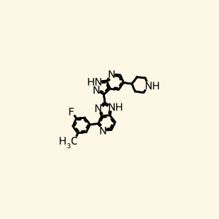 Cc1cc(F)cc(-c2nccc3[nH]c(-c4n[nH]c5ncc(C6CCNCC6)cc45)nc23)c1